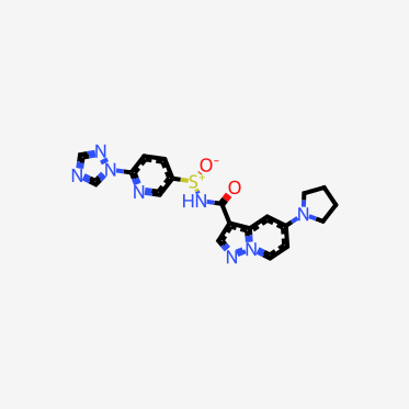 O=C(N[S+]([O-])c1ccc(-n2cncn2)nc1)c1cnn2ccc(N3CCCC3)cc12